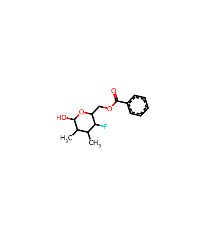 CC1C(O)OC(COC(=O)c2ccccc2)C(F)C1C